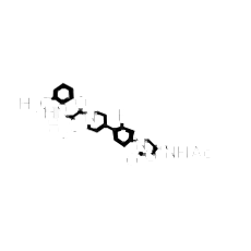 C=C(Nc1ccccc1C)C(=O)N1CC=C(c2ccc(N3C[C@H](CNC(C)=O)OC3=O)cc2F)CC1